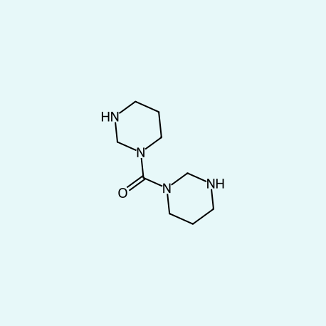 O=C(N1CCCNC1)N1CCCNC1